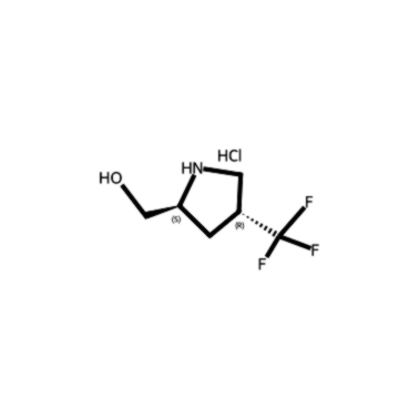 Cl.OC[C@@H]1C[C@@H](C(F)(F)F)CN1